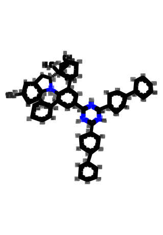 C=CC(C)(C)[C@H]1Cc2cc(C(C)(C)C)cc(C(C)(C)C)c2N1c1c(-c2ccccc2)cc(-c2nc(-c3ccc(-c4ccccc4)cc3)nc(-c3ccc(-c4ccccc4)cc3)n2)cc1-c1ccccc1